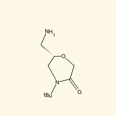 CC(C)(C)N1C[C@H](CN)OCC1=O